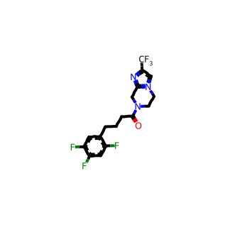 O=C(CCCc1cc(F)c(F)cc1F)N1CCn2cc(C(F)(F)F)nc2C1